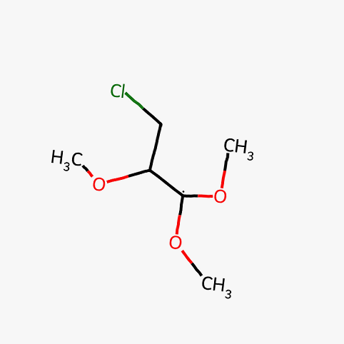 CO[C](OC)C(CCl)OC